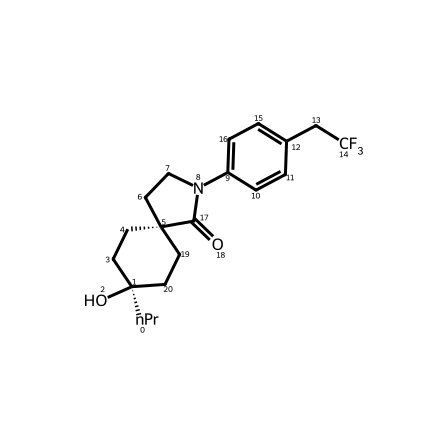 CCC[C@]1(O)CC[C@@]2(CCN(c3ccc(CC(F)(F)F)cc3)C2=O)CC1